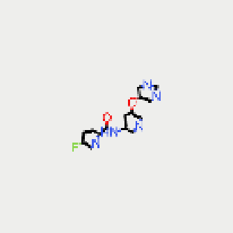 O=C(Nc1cncc(Oc2cncnc2)c1)c1ccc(F)cn1